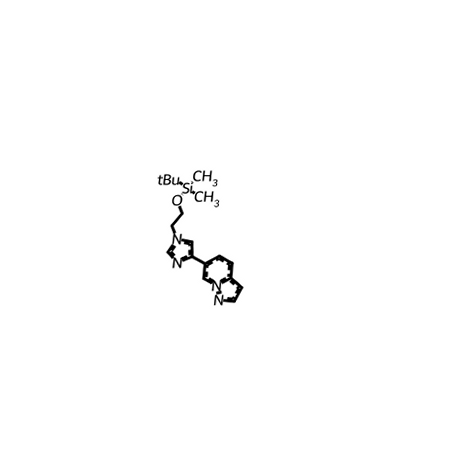 CC(C)(C)[Si](C)(C)OCCn1cnc(-c2ccc3ccnn3c2)c1